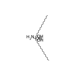 CCCCCCCCCCCCCCC(O)CC(O)(CN)CC(O)CCCCCCCCCCCCCC